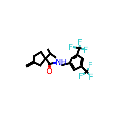 C=C1CCC(C(=O)NCc2cc(C(F)(F)F)cc(C(F)(F)F)c2)(C(C)C)C1